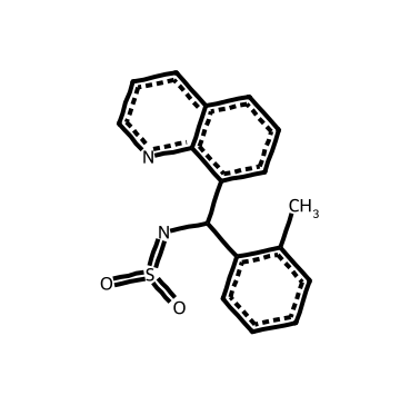 Cc1ccccc1C(N=S(=O)=O)c1cccc2cccnc12